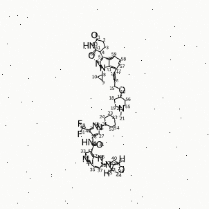 O=C1CCC(c2nn(C3CC3)c3c(C#CCOC4CCN(C[C@H]5CC[C@H](n6cc(NC(=O)c7cnn8ccc(N9C[C@H]%10C[C@@H]9CO%10)nc78)c(C(F)F)n6)CC5)CC4)cccc23)C(=O)N1